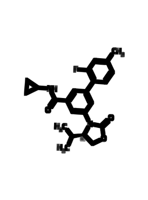 Cc1ccc(-c2cc(C(=O)NC3CC3)cc(N3C(=O)OC[C@H]3C(C)C)c2)c(F)c1